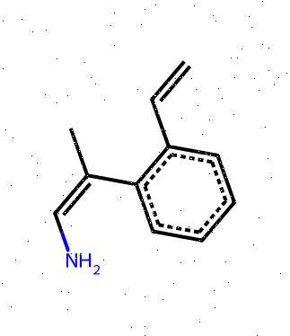 C=Cc1ccccc1/C(C)=C\N